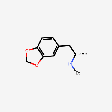 CCN[C@@H](C)Cc1ccc2c(c1)OCO2